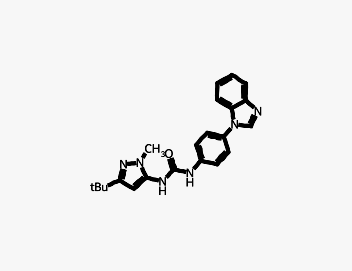 Cn1nc(C(C)(C)C)cc1NC(=O)Nc1ccc(-n2cnc3ccccc32)cc1